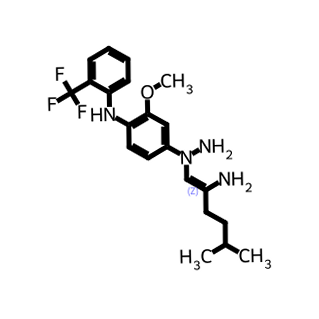 COc1cc(N(N)/C=C(\N)CCC(C)C)ccc1Nc1ccccc1C(F)(F)F